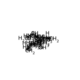 C=CC(=O)NCCC(C)(C)OCCC(C)(C)OCC(COC(C)(C)CCO)(COC(C)(C)COC(C)(C)CCNC(=O)C=C)COC(C)(C)COC(C)(C)CCNC(=O)C=C